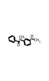 CNc1cccc(N(C)C(=O)c2ccccc2)c1